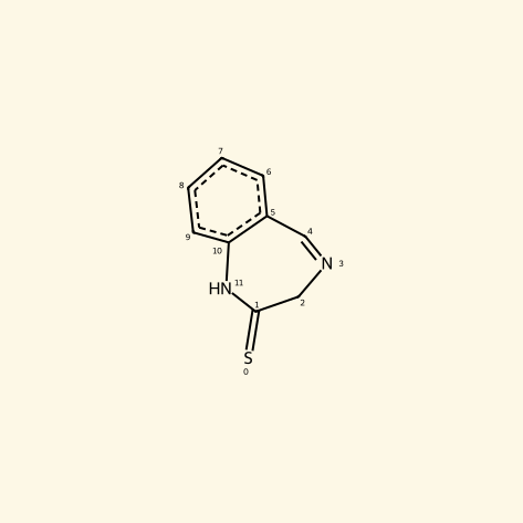 S=C1CN=Cc2ccccc2N1